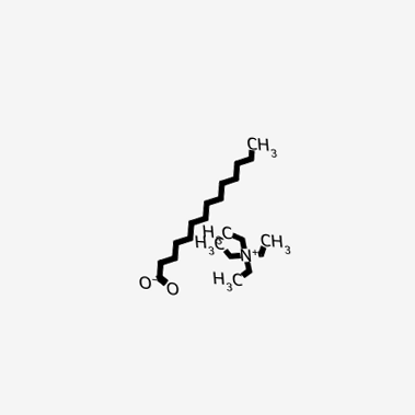 CCCCCCCCCCCCCC(=O)[O-].CC[N+](CC)(CC)CC